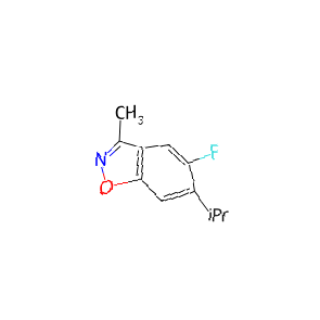 Cc1noc2cc(C(C)C)c(F)cc12